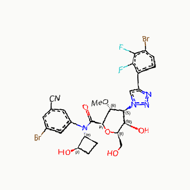 CO[C@@H]1[C@@H](n2cc(-c3ccc(Br)c(F)c3F)nn2)[C@@H](O)[C@@H](CO)O[C@H]1C(=O)N(c1cc(Br)cc(C#N)c1)[C@@H]1CC[C@H]1O